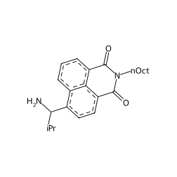 CCCCCCCCN1C(=O)c2cccc3c(C(N)C(C)C)ccc(c23)C1=O